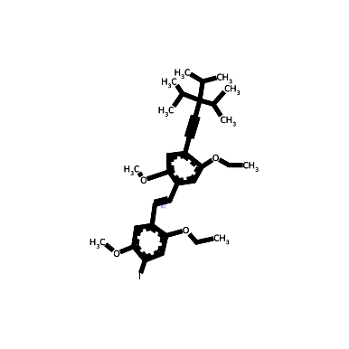 CCOc1cc(/C=C/c2cc(OC)c(I)cc2OCC)c(OC)cc1C#CC(C(C)C)(C(C)C)C(C)C